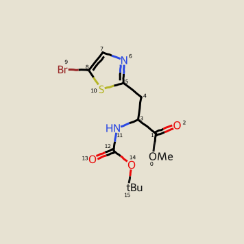 COC(=O)C(Cc1ncc(Br)s1)NC(=O)OC(C)(C)C